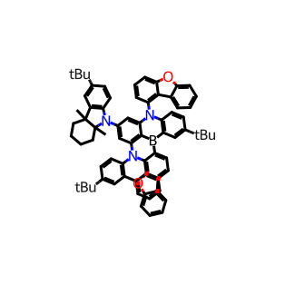 CC(C)(C)c1ccc2c(c1)B1c3ccc4c(oc5ccccc54)c3N(c3ccc(C(C)(C)C)cc3-c3ccccc3)c3cc(N4c5ccc(C(C)(C)C)cc5C5(C)CCCCC45C)cc(c31)N2c1cccc2oc3ccccc3c12